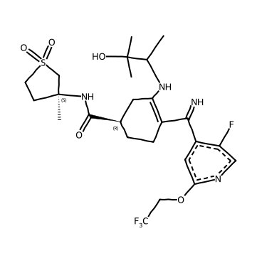 CC(NC1=C(C(=N)c2cc(OCC(F)(F)F)ncc2F)CC[C@@H](C(=O)N[C@@]2(C)CCS(=O)(=O)C2)C1)C(C)(C)O